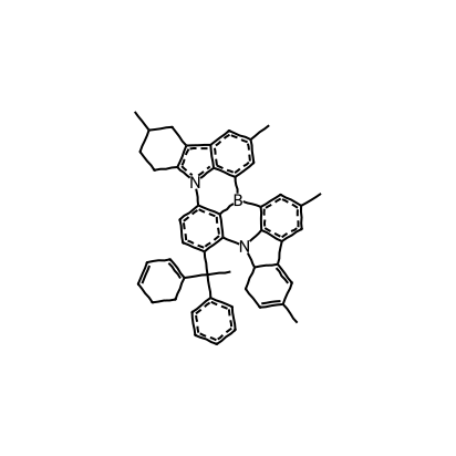 CC1=CCC2C(=C1)c1cc(C)cc3c1N2c1c(C(C)(C2=CC=CCC2)c2ccccc2)ccc2c1B3c1cc(C)cc3c4c(n-2c13)CCC(C)C4